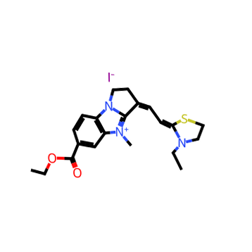 CCOC(=O)c1ccc2c(c1)[n+](C)c1n2CCC1=CC=C1SCCN1CC.[I-]